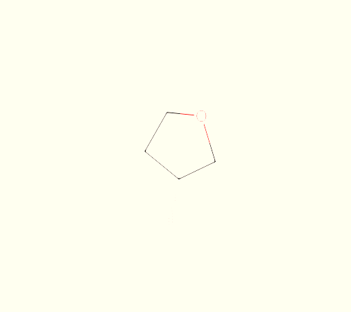 C[C@H]1CO[C@@H](C)C1